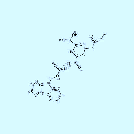 COC(=O)CCCC(NC(=O)C(=O)O)C(=O)NNC(=O)OCC1c2ccccc2-c2ccccc21